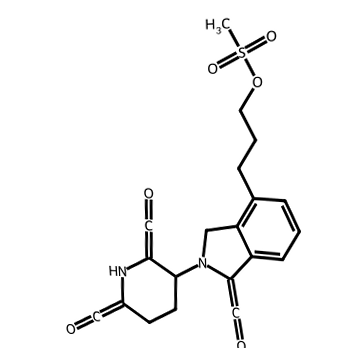 CS(=O)(=O)OCCCc1cccc2c1CN(C1CCC(=C=O)NC1=C=O)C2=C=O